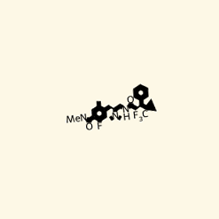 CNC(=O)c1cc(C)c(C[C@@H](CNC(=O)C[C@@H](c2ccccc2)C2(C(F)(F)F)CC2)N(C)C)cc1F